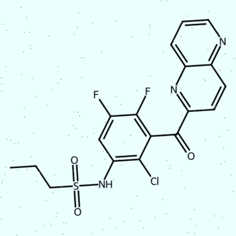 CCCS(=O)(=O)Nc1cc(F)c(F)c(C(=O)c2ccc3ncccc3n2)c1Cl